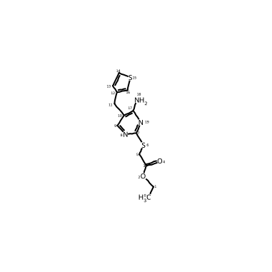 CCOC(=O)CSc1ncc(Cc2ccsc2)c(N)n1